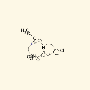 COCCO[C@@H]1/C=C/CCCS(=O)(=O)NC(=O)c2ccc3c(c2)N(CCCCc2cc(Cl)ccc2CO3)CC2CCC21